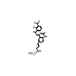 Cc1n/c(=N\C(C)c2cccc(C(F)F)c2F)c2cc(/C=C/CNC(=O)O)ncc2n1C